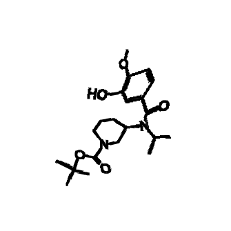 COc1ccc(C(=O)N(C(C)C)[C@@H]2CCCN(C(=O)OC(C)(C)C)C2)cc1O